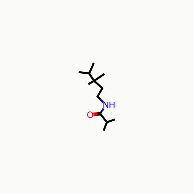 CC(C)C(=O)NCCC(C)(C)C(C)C